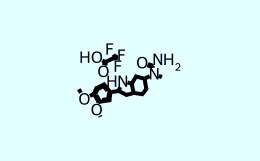 COc1ccc(C2CC3CCC(N(C)C(N)=O)CC3N2)cc1OC.O=C(O)C(F)(F)F